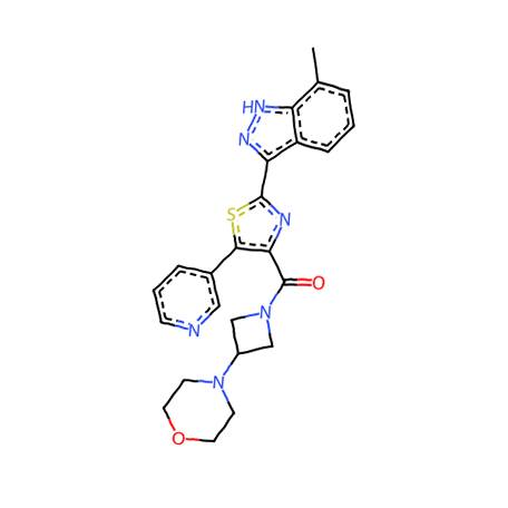 Cc1cccc2c(-c3nc(C(=O)N4CC(N5CCOCC5)C4)c(-c4cccnc4)s3)n[nH]c12